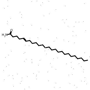 CCCCCCCCCCCCCCCCCCC/C=C/CCCC(N)=O